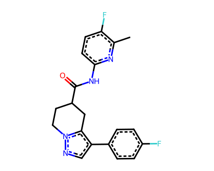 Cc1nc(NC(=O)C2CCn3ncc(-c4ccc(F)cc4)c3C2)ccc1F